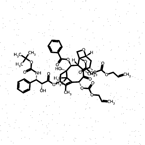 C=CCOC(=O)O[C@H]1C(=O)[C@]2(C)[C@@H](OC(=O)OCC=C)C[C@H]3OC[C@@]3(OC(C)=O)[C@H]2[C@H](OC(=O)c2ccccc2)[C@]2(O)C[C@H](OC(=O)[C@H](O)[C@@H](NC(=O)OC(C)(C)C)c3ccccc3)C(C)=C1C2(C)C